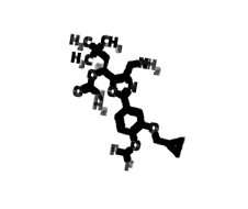 CC(C)(C)C[C@H](OC(N)=O)c1oc(-c2ccc(OC(F)F)c(OCC3CC3)c2)nc1CN